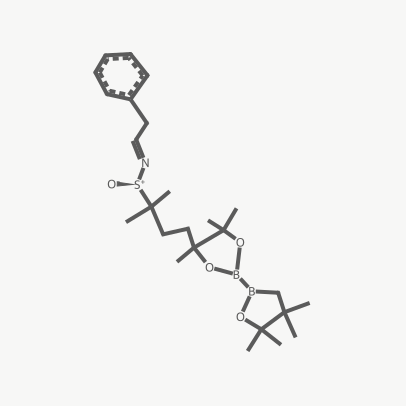 CC(C)(CCC1(C)OB(B2CC(C)(C)C(C)(C)O2)OC1(C)C)[S@@+]([O-])/N=C/Cc1ccccc1